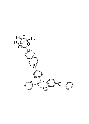 CC(C)(C)OC(=O)N1CCC2(CC1)CCN(c1ccc(C3=C(c4ccccc4)COc4cc(OCc5ccccc5)ccc43)cc1)CC2